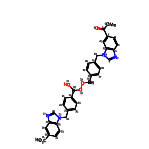 COC(=O)c1ccc2ncn(Cc3ccc(BOOB(O)c4ccc(Cn5cnc6cc(C(=O)O)ccc65)cc4)cc3)c2c1